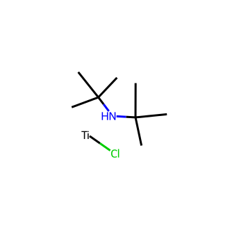 CC(C)(C)NC(C)(C)C.[Cl][Ti]